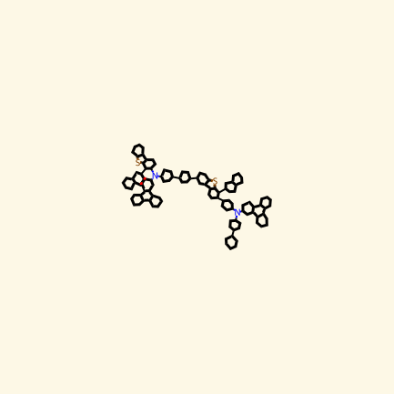 c1ccc(-c2ccc(N(c3ccc(-c4ccc5c(sc6ccc(-c7ccc(-c8ccc(N(c9ccc%10c%11ccccc%11c%11ccccc%11c%10c9)c9ccc%10c(sc%11ccccc%11%10)c9-c9ccc%10ccccc%10c9)cc8)cc7)cc65)c4-c4ccc5ccccc5c4)cc3)c3ccc4c5ccccc5c5ccccc5c4c3)cc2)cc1